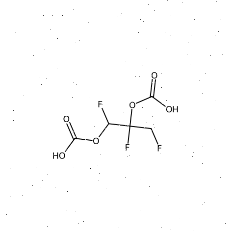 O=C(O)OC(F)C(F)(CF)OC(=O)O